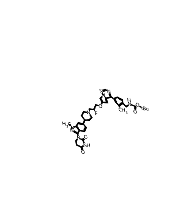 Cc1cc(-c2ncnn3cc(OC[C@@H](F)CN4CCC(c5ccc6c(N7CCC(=O)NC7=O)nn(C)c6c5)CC4)cc23)ccc1CNC(=O)OC(C)(C)C